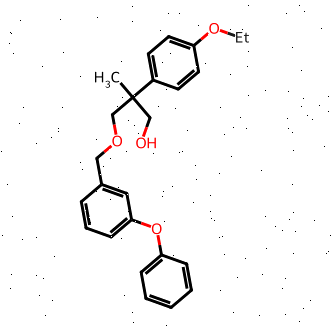 CCOc1ccc(C(C)(CO)COCc2cccc(Oc3ccccc3)c2)cc1